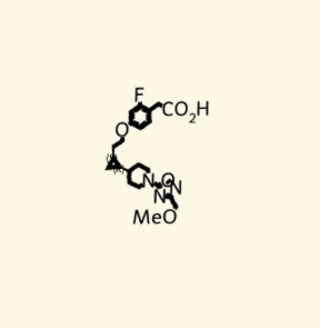 COCc1noc(N2CCC([C@H]3C[C@H]3CCOc3ccc(CC(=O)O)c(F)c3)CC2)n1